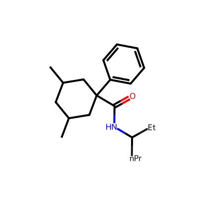 CCCC(CC)NC(=O)C1(c2ccccc2)CC(C)CC(C)C1